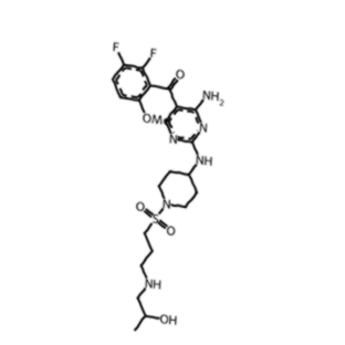 COc1ccc(F)c(F)c1C(=O)c1cnc(NC2CCN(S(=O)(=O)CCCNCC(C)O)CC2)nc1N